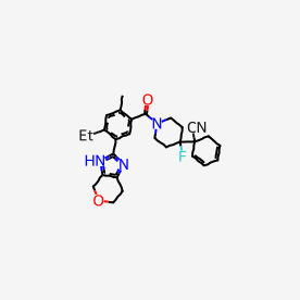 CCc1cc(C)c(C(=O)N2CCC(F)(C3(C#N)C=CC=CC3)CC2)cc1-c1nc2c([nH]1)COCC2